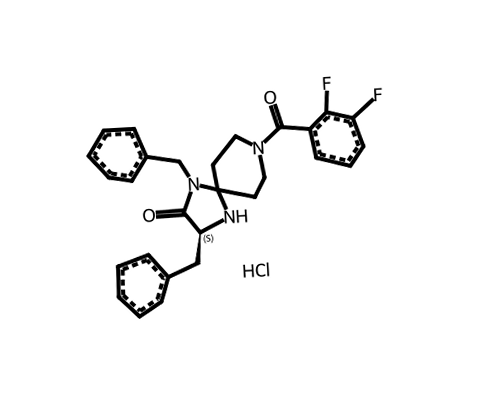 Cl.O=C(c1cccc(F)c1F)N1CCC2(CC1)N[C@@H](Cc1ccccc1)C(=O)N2Cc1ccccc1